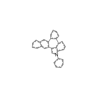 c1ccc(-n2cc3c4c(cccc42)-c2ccccc2-c2cc4ccccc4cc2-3)cc1